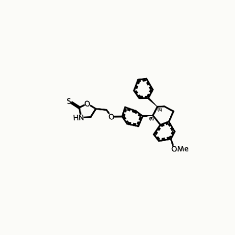 COc1ccc2c(c1)CC[C@H](c1ccccc1)[C@@H]2c1ccc(OCC2CNC(=S)O2)cc1